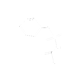 NC(=O)NS(=O)(=O)Nc1ccccc1